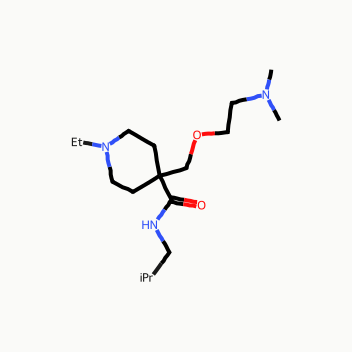 CCN1CCC(COCCN(C)C)(C(=O)NCC(C)C)CC1